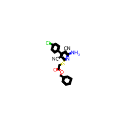 N#Cc1c(N)nc(SCC(=O)OCc2ccccc2)c(C#N)c1-c1ccc(Cl)cc1